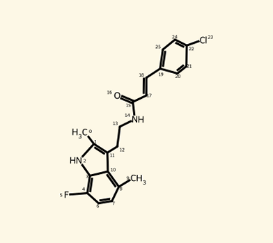 Cc1[nH]c2c(F)ccc(C)c2c1CCNC(=O)/C=C/c1ccc(Cl)cc1